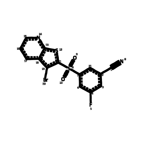 N#Cc1cc(F)cc(S(=O)(=O)c2sc3ncccc3c2Br)c1